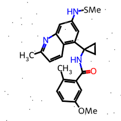 COc1ccc(C)c(C(=O)NC2(c3cc(NSC)cc4nc(C)ccc34)CC2)c1